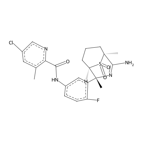 Cc1cc(Cl)cnc1C(=O)Nc1ccc(F)c([C@@]2(C)N=C(N)[C@]3(C)CCC[C@H]2S3(=O)=O)c1